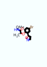 CONC(=O)[C@H](C)Oc1ccc(Br)cc1-c1ccno1